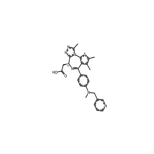 Cc1sc2c(c1C)C(c1ccc(N(C)Cc3cccnc3)cc1)=N[C@@H](CC(=O)O)c1nnc(C)n1-2